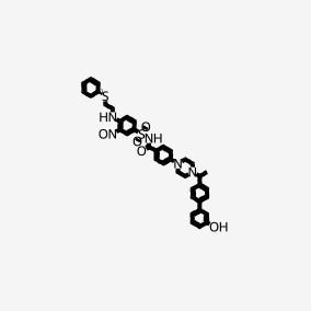 CC(c1ccc(-c2cccc(O)c2)cc1)N1CCN(c2ccc(C(=O)NS(=O)(=O)c3ccc(NCCS[C@@H]4C=CC=CC4)c(N=O)c3)cc2)CC1